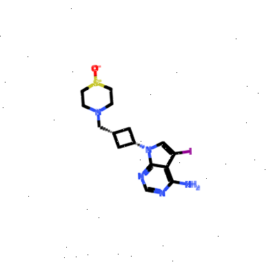 Nc1ncnc2c1c(I)cn2[C@H]1C[C@@H](CN2CC[S+]([O-])CC2)C1